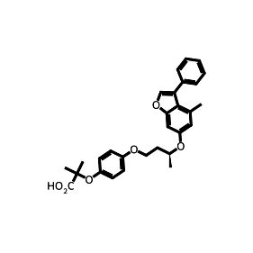 Cc1cc(O[C@@H](C)CCOc2ccc(OC(C)(C)C(=O)O)cc2)cc2occ(-c3ccccc3)c12